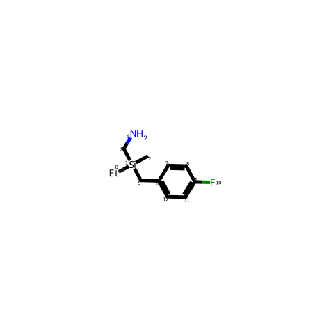 CC[Si](C)(CN)Cc1ccc(F)cc1